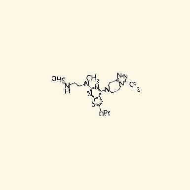 CCCc1cc2c(N3CCn4c(nnc4C(F)(F)F)C3)nc(N(C)CCNC=O)nc2s1